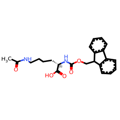 CC(=O)NCCCC[C@H](NC(=O)OCC1c2ccccc2-c2ccccc21)C(=O)O